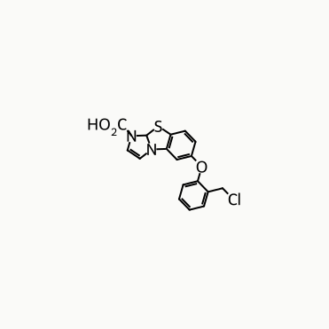 O=C(O)N1C=CN2c3cc(Oc4ccccc4CCl)ccc3SC12